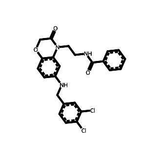 O=C(NCCN1C(=O)COc2ccc(NCc3ccc(Cl)c(Cl)c3)cc21)c1ccccc1